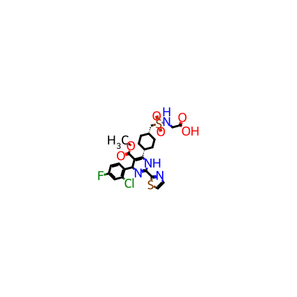 COC(=O)C1=C([C@H]2CC[C@@H](CS(=O)(=O)NCC(=O)O)CC2)NC(c2nccs2)=NC1c1ccc(F)cc1Cl